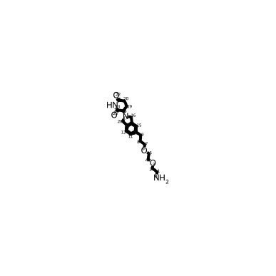 NCCOCCOCCCc1ccc2c(c1)CN(C1CCC(=O)NC1=O)C2